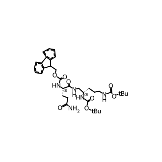 CC(C)(C)OC(=O)NCCC[C@@H](CNC(=O)[C@H](CCC(N)=O)NC(=O)OCC1c2ccccc2-c2ccccc21)NC(=O)OC(C)(C)C